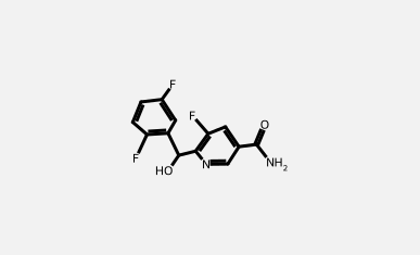 NC(=O)c1cnc(C(O)c2cc(F)ccc2F)c(F)c1